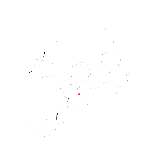 COCOc1cc(-c2ncc3c(N4C[C@@H]5C[C@]5(NC(=O)O)C4)nc(OC[C@@]45CCCN4C[C@H](F)C5)nc3c2F)c2c(C#C[Si](C(C)C)(C(C)C)C(C)C)c(F)ccc2c1